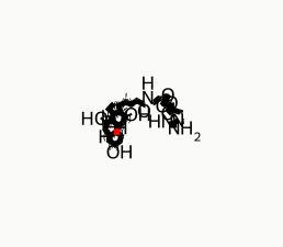 C[C@H](CCC(=O)NCCS(=O)(=O)OC(=O)CN(C)C(=N)N)[C@H]1CC[C@H]2[C@@H]3[C@H](O)C[C@@H]4C[C@H](O)CC[C@]4(C)[C@H]3C[C@H](O)[C@]12C